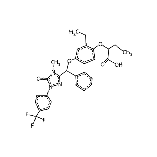 CCc1cc(OC(c2ccccc2)c2nn(-c3ccc(C(F)(F)F)cc3)c(=O)n2C)ccc1OC(CC)C(=O)O